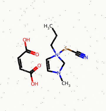 CCC[N+]1(SC#N)C=CN(C)C1.O=C(O)/C=C\C(=O)O